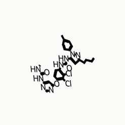 CCCCc1cc(NC(=O)Nc2ccc(Oc3cc(NC(=O)NC)ncn3)c(Cl)c2Cl)n(-c2ccc(C)cc2)n1